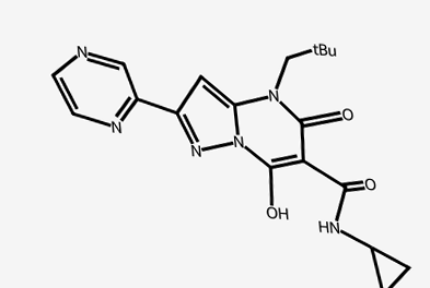 CC(C)(C)Cn1c(=O)c(C(=O)NC2CC2)c(O)n2nc(-c3cnccn3)cc12